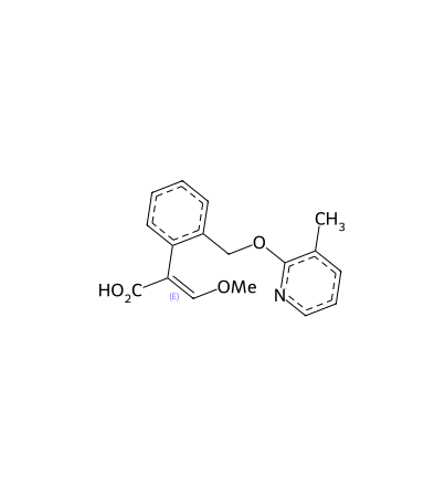 CO/C=C(/C(=O)O)c1ccccc1COc1ncccc1C